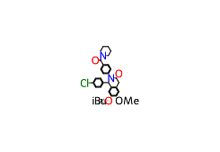 CC[C@@H](C)Oc1cc2c(cc1OC)CC(=O)N(c1ccc(C(=O)N3CCCCC3)cc1)C2c1ccc(Cl)cc1